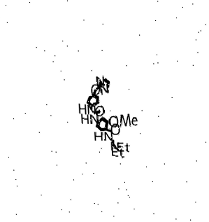 CCN(CC)CCNC(=O)c1ccc(NC(=O)Nc2ccc(Oc3ncccn3)cc2)cc1OC